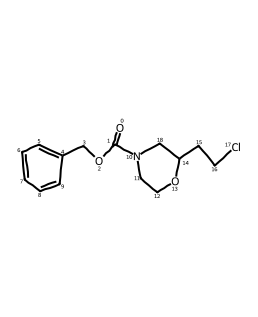 O=C(OCc1ccccc1)N1CCOC(CCCl)C1